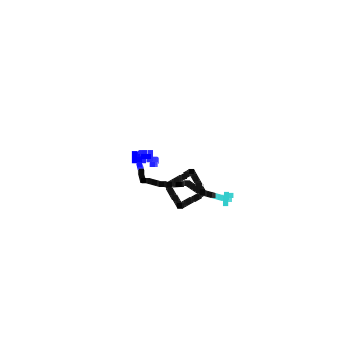 NCC12CC(F)(C1)C2